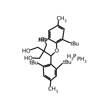 Cc1cc(C(C)(C)C)c(OC(c2c(C(C)(C)C)cc(C)cc2C(C)(C)C)C(CO)(CO)CO)c(C(C)(C)C)c1.P.P